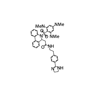 CNc1cc(NC)c(S(=O)(=O)N2c3ccccc3-c3ccccc3C2CC(=O)NCCc2ccc(C3=NCCN3)cc2)c(NC)c1